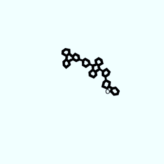 c1cc(-c2ccc3oc4ccccc4c3c2)cc(-c2c3ccccc3c(-c3ccc(-c4ccc5c6ccccc6c6ccccc6c5c4)cc3)c3ccccc23)c1